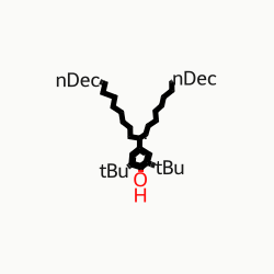 CCCCCCCCCCCCCCCCCC[C](CCCCCCCCCCCCCCCCCC)c1cc(C(C)(C)C)c(O)c(C(C)(C)C)c1